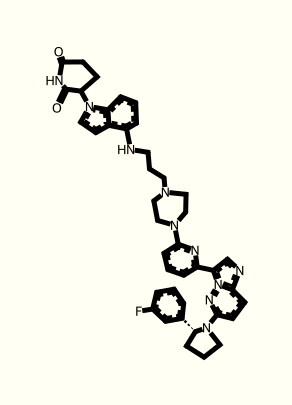 O=C1CCC(n2ccc3c(NCCCN4CCN(c5cccc(-c6cnc7ccc(N8CCC[C@@H]8c8cccc(F)c8)nn67)n5)CC4)cccc32)C(=O)N1